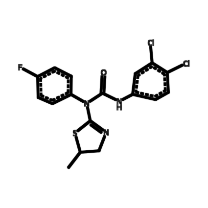 CC1CN=C(N(C(=O)Nc2ccc(Cl)c(Cl)c2)c2ccc(F)cc2)S1